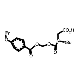 CC(C)Oc1ccc(C(=O)OCOC(=O)N(CC(=O)O)C(C)(C)C)cc1